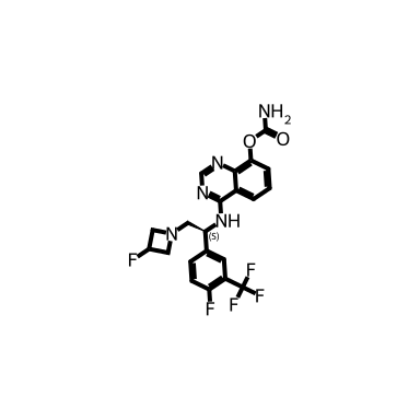 NC(=O)Oc1cccc2c(N[C@H](CN3CC(F)C3)c3ccc(F)c(C(F)(F)F)c3)ncnc12